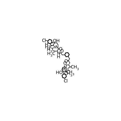 CC(C)[C@H](CC(=O)Cc1cccc(CC(=O)N[C@@H](C(=O)N2CC[C@@](O)(c3ccc(Cl)cc3)C(C)(C)C2)C(C)C)c1)C(=O)N1CC[C@@](O)(c2ccc(Cl)cc2)C(C)(C)C1